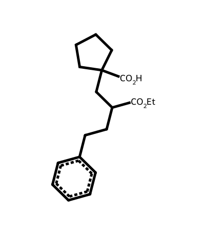 CCOC(=O)C(CCc1ccccc1)CC1(C(=O)O)CCCC1